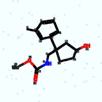 Cc1cccc(C2(CNC(=O)OC(C)(C)C)CCC(O)C2)c1